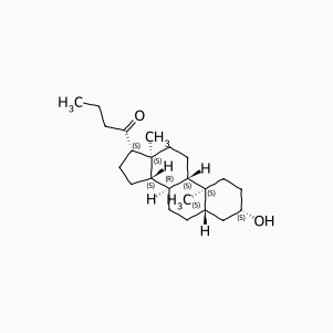 CCCC(=O)[C@H]1CC[C@H]2[C@@H]3CC[C@H]4C[C@@H](O)CC[C@]4(C)[C@H]3CC[C@]12C